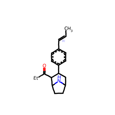 C/C=C/c1ccc(C2CC3CCC(N3)C2C(=O)CC)cc1